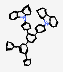 c1ccc(-c2cc(-c3ccccc3)cc(-c3ccc(-c4ccc(-n5c6ccccc6c6ccccc65)cc4)c(-c4ccc(-n5c6ccccc6c6ccccc65)cc4)c3)c2)cc1